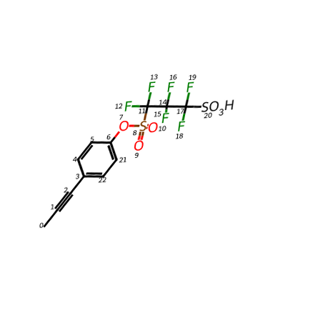 CC#Cc1ccc(OS(=O)(=O)C(F)(F)C(F)(F)C(F)(F)S(=O)(=O)O)cc1